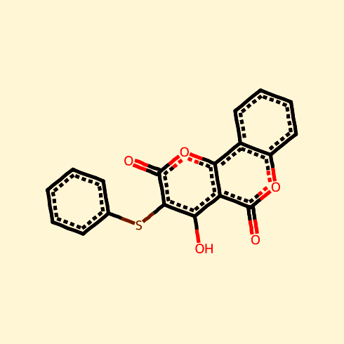 O=c1oc2c(c(O)c1Sc1ccccc1)c(=O)oc1ccccc12